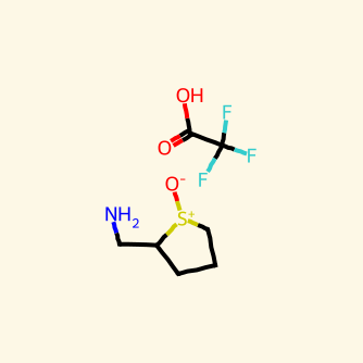 NCC1CCC[S+]1[O-].O=C(O)C(F)(F)F